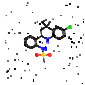 CC1(C)CC(c2ccccc2NS(C)(=O)=O)Nc2ccc(Cl)cc21